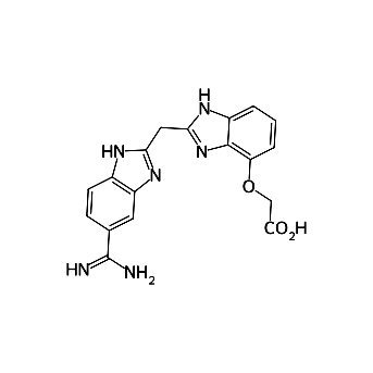 N=C(N)c1ccc2[nH]c(Cc3nc4c(OCC(=O)O)cccc4[nH]3)nc2c1